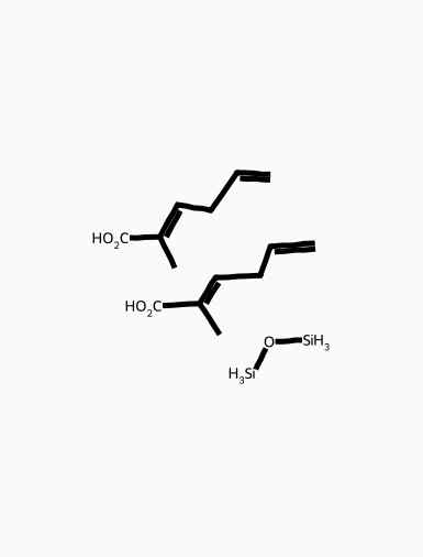 C=CCC=C(C)C(=O)O.C=CCC=C(C)C(=O)O.[SiH3]O[SiH3]